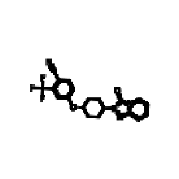 N#Cc1ccc(O[C@H]2CC[C@H](n3nc4ccccn4c3=O)CC2)cc1C(F)(F)F